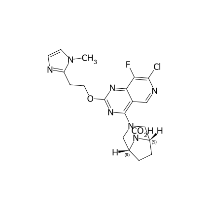 Cn1ccnc1CCOc1nc(N2C[C@H]3CC[C@@H](C2)N3C(=O)O)c2cnc(Cl)c(F)c2n1